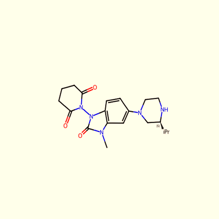 CC(C)[C@H]1CN(c2ccc3c(c2)n(C)c(=O)n3N2C(=O)CCCC2=O)CCN1